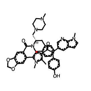 Cc1c(C(=O)N(c2ccc(O)cc2)c2cnc3c(ccn3C)c2)cc(-c2cc3c(cc2C(=O)N2Cc4ccccc4C[C@H]2CN2CCN(C)CC2)OCO3)n1C